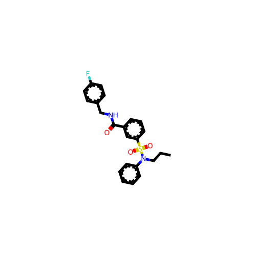 CCCN(c1ccccc1)S(=O)(=O)c1cccc(C(=O)NCc2ccc(F)cc2)c1